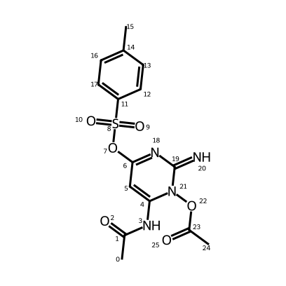 CC(=O)Nc1cc(OS(=O)(=O)c2ccc(C)cc2)nc(=N)n1OC(C)=O